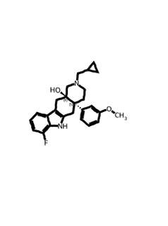 COc1cccc([C@@]23CCN(CC4CC4)C[C@@]2(O)Cc2c([nH]c4c(F)cccc24)C3)c1